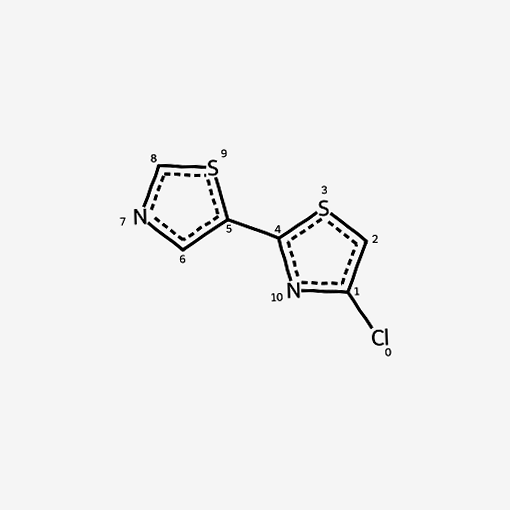 Clc1csc(-c2cncs2)n1